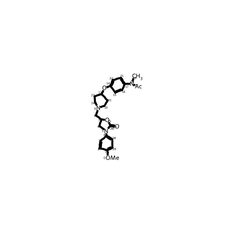 COc1ccc(N2CC(CN3CCC(Oc4ccc(N(C)C(C)=O)cc4)CC3)OC2=O)cc1